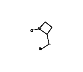 [O-][S+]1CCC1[CH]Br